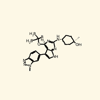 BC(B)(B)Oc1nc(N[C@H]2CC[C@](C)(O)CC2)nc2[nH]cc(-c3ccc4nnn(C)c4c3)c12